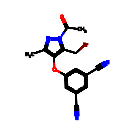 CC(=O)n1nc(C)c(Oc2cc(C#N)cc(C#N)c2)c1CBr